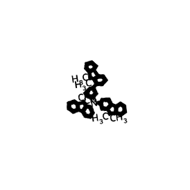 CC1(C)c2ccccc2-c2ccc(N(c3cccc(-c4cccc5c4C(C)(C)c4ccccc4-5)c3)c3cccc4c3C(C)(C)c3ccccc3-4)cc21